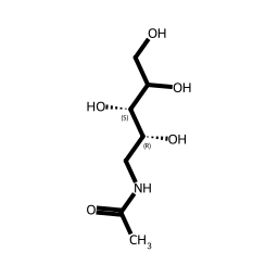 CC(=O)NC[C@@H](O)[C@H](O)C(O)CO